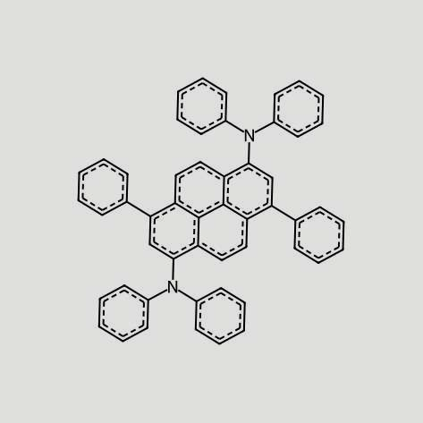 c1ccc(-c2cc(N(c3ccccc3)c3ccccc3)c3ccc4c(-c5ccccc5)cc(N(c5ccccc5)c5ccccc5)c5ccc2c3c45)cc1